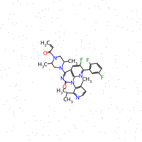 C=CC(=O)N1CC(C)N(c2nc(=O)n(-c3c(C)ccnc3C(C)C)c3nc(-c4cc(F)ccc4F)c(F)cc23)CC1C